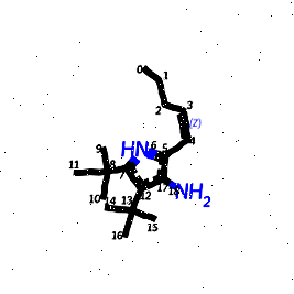 CCC/C=C\c1[nH]c(C(C)(C)C)c(C(C)(C)C)c1N